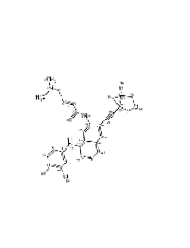 CN(C)C/C=C/C(=O)Nc1cc2c(Nc3ccc(F)c(Cl)c3)ncnc2cc1C#C[C@]12COC[C@@H]1C2